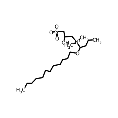 CCCCCCCCCCCCOC(CCC)[N+](C)(C)CC(O)CS(=O)(=O)[O-]